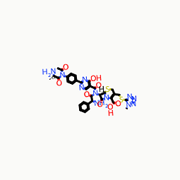 CC(=O)N(C(=O)[C@H](C)N)c1ccc(-c2ncc(C(=O)N(C(=O)C(N)c3ccccc3)C3C(=O)N4C(C(=O)O)=C(CSc5nnnn5C)CS[C@@H]34)c(O)n2)cc1